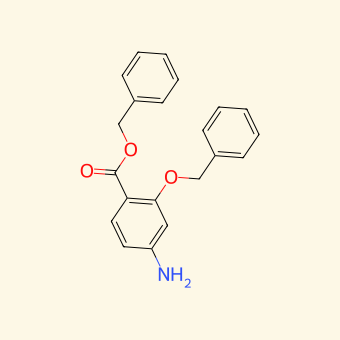 Nc1ccc(C(=O)OCc2ccccc2)c(OCc2ccccc2)c1